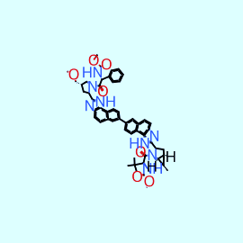 COC[C@H]1CC(c2nc3ccc4cc(-c5ccc6c(ccc7nc(C8C[C@H]9[C@@H](C)[C@H]9N8C(=O)[C@@H](NC(=O)OC)C(C)(C)C)[nH]c76)c5)ccc4c3[nH]2)N(C(=O)[C@H](NC(=O)OC)c2ccccc2)C1